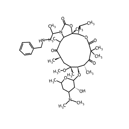 CC[C@H]1OC(=O)C(C)(C)C(=O)[C@H](C)[C@@H](OC2OC(C)CC(N(C)C)[C@H]2O)[C@](C)(OC)C[C@@H](C)C(=O)C(C)C2N(C(C)CNCc3ccccc3)C(=O)O[C@@]21C